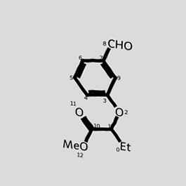 CCC(Oc1cccc(C=O)c1)C(=O)OC